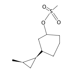 C[C@@H]1C[C@@H]1C1CCCC(OS(C)(=O)=O)C1